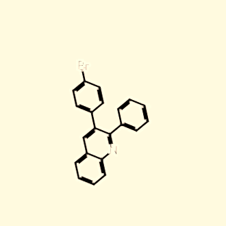 Brc1ccc(-c2cc3ccccc3nc2-c2cc[c]cc2)cc1